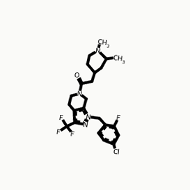 CC1CC(CC(=O)N2CCc3c(C(F)(F)F)nn(Cc4ccc(Cl)cc4F)c3C2)CCN1C